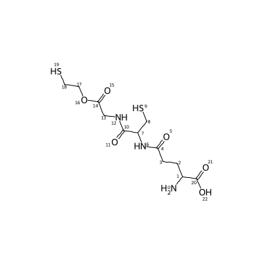 NC(CCC(=O)NC(CS)C(=O)NCC(=O)OCCS)C(=O)O